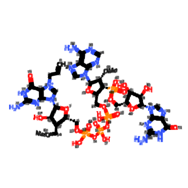 C=CC[n+]1cn([C@@H]2O[C@H](COP(=O)(O)OP(=O)(O)OP(=O)(O)OC[C@H]3O[C@@H](n4cnc5c(N)ncnc54)[C@H](OC)[C@@H]3P(=O)([O-])OC[C@H]3O[C@@H](n4cnc5c(=O)[nH]c(N)nc54)[C@H](O)[C@@H]3O)[C@@H](COC)[C@H]2O)c2nc(N)[nH]c(=O)c21